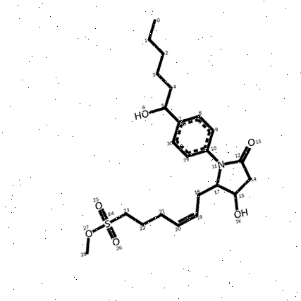 CCCCCC(O)c1ccc(N2C(=O)CC(O)C2C/C=C\CCCS(=O)(=O)OC)cc1